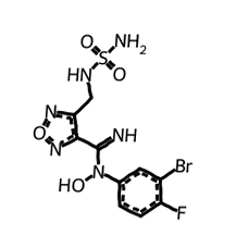 N=C(c1nonc1CNS(N)(=O)=O)N(O)c1ccc(F)c(Br)c1